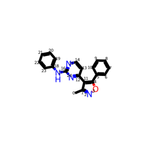 Cc1noc(-c2ccccc2)c1-c1ccnc(Nc2ccccc2)n1